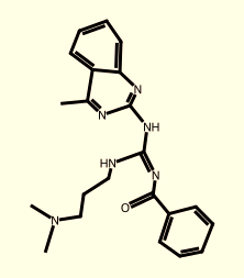 Cc1nc(N/C(=N/C(=O)c2ccccc2)NCCCN(C)C)nc2ccccc12